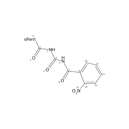 CCCCCC(=O)NC(=O)NC(=O)c1ccccc1[N+](=O)[O-]